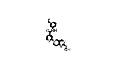 O=C(Nc1cccc(CF)c1)c1ccnc(N2CCc3nc(SO)ncc3C2)c1